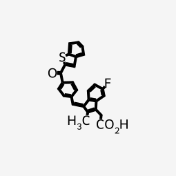 CC1=C(CC(=O)O)c2cc(F)ccc2/C1=C\c1ccc(C(=O)c2cc3ccccc3s2)cc1